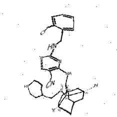 N#Cc1cnc(NCc2ccccc2Cl)nc1NC[C@]12CC3C[C@H](C1)[C@@H](NCC1CCNCC1)[C@@H](C3)C2